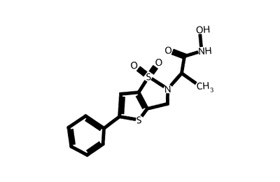 CC(C(=O)NO)N1Cc2sc(-c3ccccc3)cc2S1(=O)=O